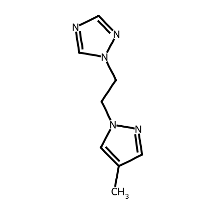 Cc1cnn(CCn2cncn2)c1